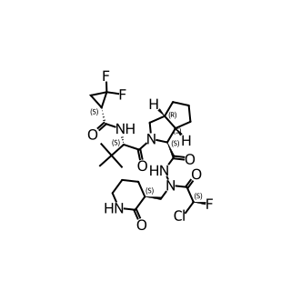 CC(C)(C)[C@H](NC(=O)[C@@H]1CC1(F)F)C(=O)N1C[C@@H]2CCC[C@@H]2[C@H]1C(=O)NN(C[C@@H]1CCCNC1=O)C(=O)[C@@H](F)Cl